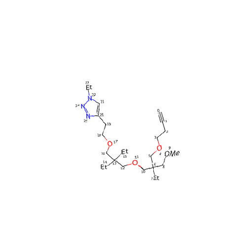 C#CCCOCC(CC)(COC)COCC(CC)(CC)COCCc1cn(CC)nn1